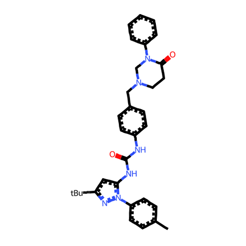 Cc1ccc(-n2nc(C(C)(C)C)cc2NC(=O)Nc2ccc(CN3CCC(=O)N(c4ccccc4)C3)cc2)cc1